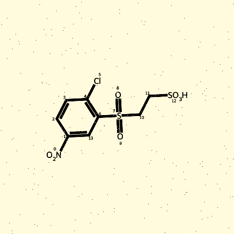 O=[N+]([O-])c1ccc(Cl)c(S(=O)(=O)CCS(=O)(=O)O)c1